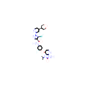 CC(C)n1c(=O)[nH]c2nccc(Oc3ccc(NC(=O)c4cnn(-c5cc(C6=CCOCC6)ccn5)c4C(F)(F)F)cc3F)c21